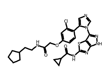 O=C(COc1ccc(-c2cncn2-c2n[nH]c3nc(NC(=O)C4CC4)sc23)c(Cl)c1)NCCC1CCCC1